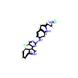 ClNCCc1cc2ccc(Nc3ncc(Cl)c(-c4c[nH]c5ccccc45)n3)cc2[nH]1